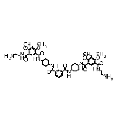 COc1cc(OC)c(C(=O)N[C@H]2CC[C@H](NC(=O)c3cccc(C(=O)N[C@H]4CC[C@H](NC(=O)c5cc(C(=O)NCCN)c(OC)cc5OC)CC4)c3)CC2)cc1C(=O)NCCN